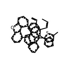 C=Cc1c(/C=C\C)c(-c2ccccc2)c2ccccc2c1-c1cccc2oc3cccc(-c4c5ccccc5c(-c5ccc(C)s5)c5ccccc45)c3c12